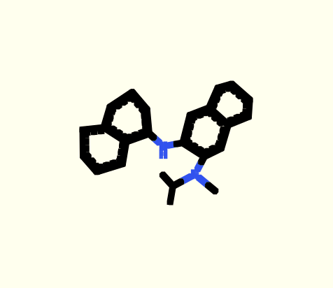 CC(C)N(C)c1cc2ccccc2cc1Nc1cccc2ccccc12